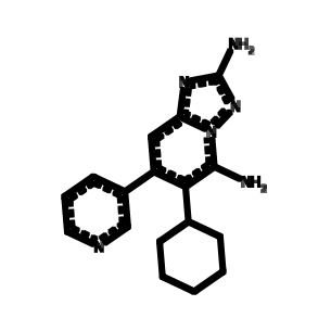 Nc1nc2cc(-c3cccnc3)c(C3CCCCC3)c(N)n2n1